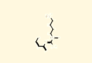 C=C(/C=C\C)/N=C(\CC)N(C)CCCCC(C)C